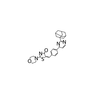 O=C1N=C(N2CCOCC2)SC1=Cc1ccc(-c2ccnc(C34CC5CC(CC(C5)C3)C4)n2)cc1